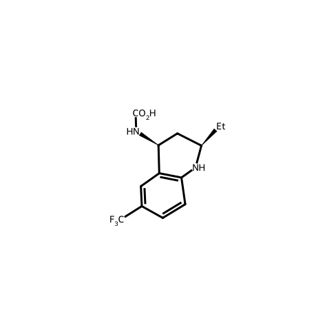 CC[C@@H]1C[C@H](NC(=O)O)c2cc(C(F)(F)F)ccc2N1